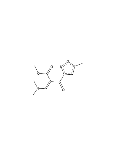 COC(=O)/C(=C\N(C)C)C(=O)c1cc(C)on1